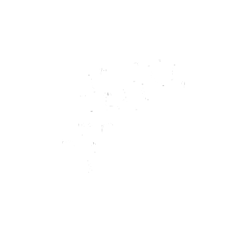 C=CCN(CC=C)C[C@](C)(C[C@@H](Cc1ccc(-c2cc(Cl)ccc2F)cc1)NC(=O)OC(C)(C)C)C(=O)O